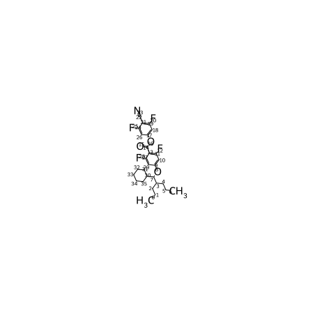 CCCC(CCC)C(Oc1cc(F)c(C(=O)Oc2cc(F)c(C#N)c(F)c2)c(F)c1)C1CCCCC1